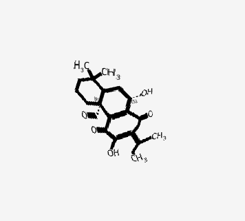 CC(C)C1=C(O)C(=O)C2=C(C1=O)[C@@H](O)CC1C(C)(C)CCC[C@]21C=O